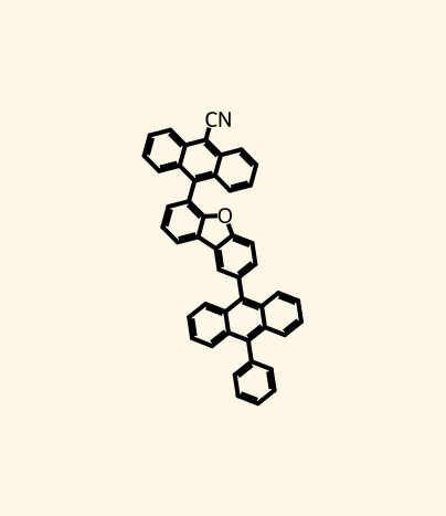 N#Cc1c2ccccc2c(-c2cccc3c2oc2ccc(-c4c5ccccc5c(-c5ccccc5)c5ccccc45)cc23)c2ccccc12